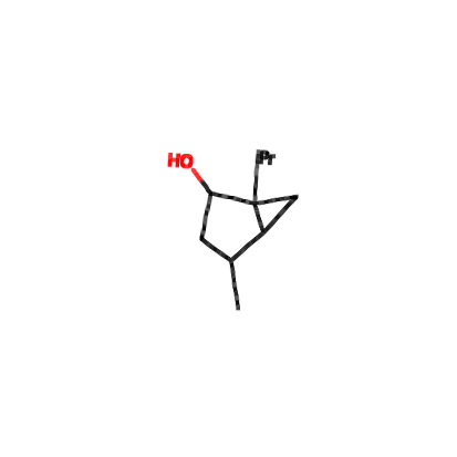 CC1CC(O)C2(C(C)C)CC12